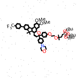 COc1cc2c3c(c4c(c2cc1OC)-c1ccc(-c2ccc(C(F)(F)F)cc2)cc1C4(C)C)C=CC(c1ccc(OCCOC(C)(C)CC[Si](OC(C)(C)C)(OC(C)(C)C)OC(C)(C)C)cc1)(c1ccc(N2CCOCC2)cc1)O3